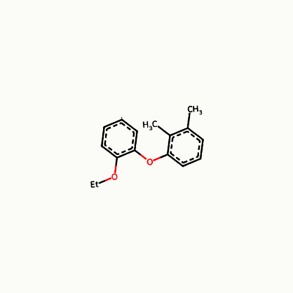 CCOc1cc[c]cc1Oc1cccc(C)c1C